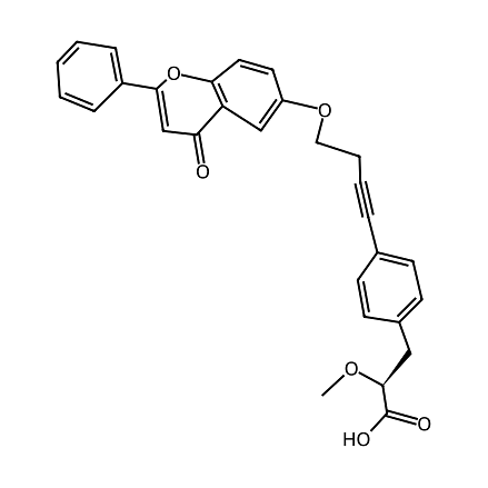 CO[C@@H](Cc1ccc(C#CCCOc2ccc3oc(-c4ccccc4)cc(=O)c3c2)cc1)C(=O)O